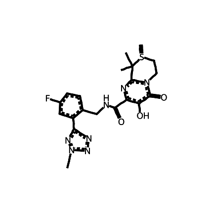 C=S1CCn2c(nc(C(=O)NCc3ccc(F)cc3-c3nnn(C)n3)c(O)c2=O)C1(C)C